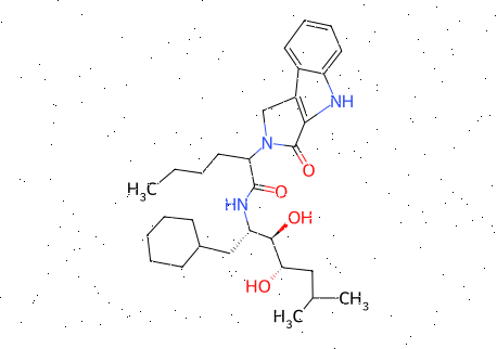 CCCCC(C(=O)N[C@@H](CC1CCCCC1)[C@@H](O)[C@@H](O)CC(C)C)N1Cc2c([nH]c3ccccc23)C1=O